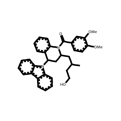 COc1ccc(C(=O)N2c3ccccc3C(n3c4ccccc4c4ccccc43)CC2CC(C)CCO)cc1OC